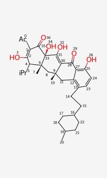 CC(=O)C1=C(O)C(C(C)C)[C@@]2(C)C[C@@]3(C)Cc4c(CCC5CCC(C)CC5)ccc(O)c4C(=O)C3=C(O)[C@@]2(O)C1=O